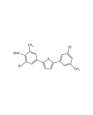 CCc1cc(C)cc(-c2ccc(-c3cc(C)c(C=O)c(CC)c3)s2)c1